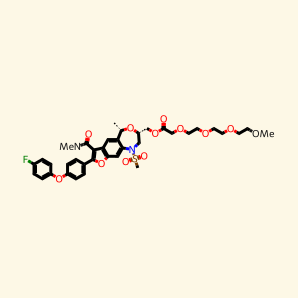 CNC(=O)c1c(-c2ccc(Oc3ccc(F)cc3)cc2)oc2cc3c(cc12)[C@H](C)O[C@H](COC(=O)COCCOCCOCCOC)CN3S(C)(=O)=O